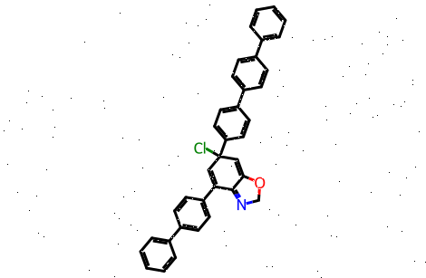 ClC1(c2ccc(-c3ccc(-c4ccccc4)cc3)cc2)C=C2OCN=C2C(c2ccc(-c3ccccc3)cc2)=C1